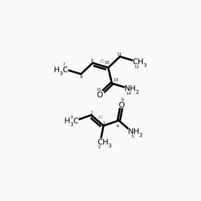 C/C=C(\C)C(N)=O.CC/C=C(/CC)C(N)=O